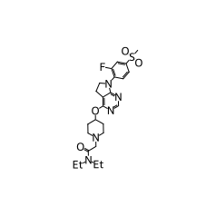 CCN(CC)C(=O)CN1CCC(Oc2ncnc3c2CCN3c2ccc(S(C)(=O)=O)cc2F)CC1